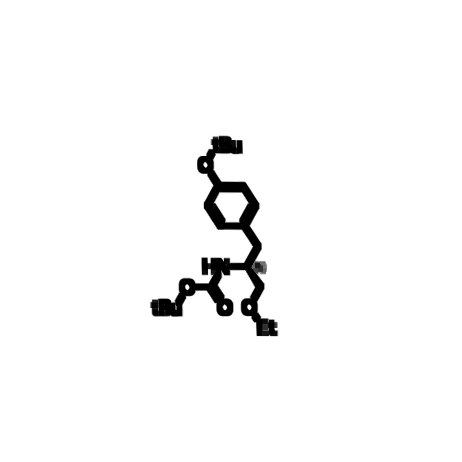 CCOC[C@H](Cc1ccc(OC(C)(C)C)cc1)NC(=O)OC(C)(C)C